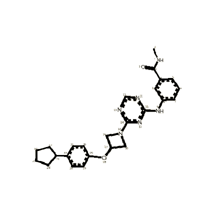 CNC(=O)c1cccc(Nc2ncnc(N3CC(Oc4ccc(C5CCCC5)cc4)C3)n2)c1